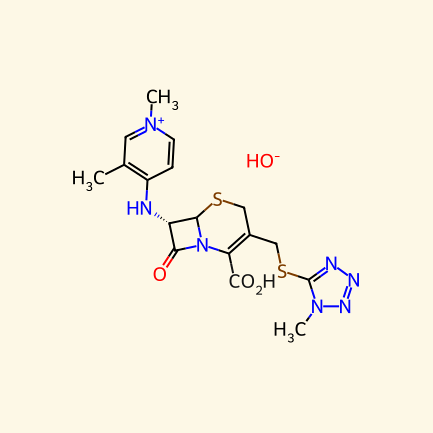 Cc1c[n+](C)ccc1N[C@H]1C(=O)N2C(C(=O)O)=C(CSc3nnnn3C)CSC12.[OH-]